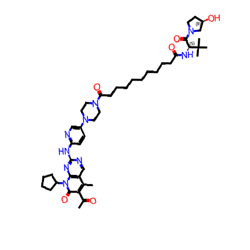 CC(=O)c1c(C)c2cnc(Nc3ccc(N4CCN(C(=O)CCCCCCCCCC(=O)N[C@H](C(=O)N5CC[C@@H](O)C5)C(C)(C)C)CC4)cn3)nc2n(C2CCCC2)c1=O